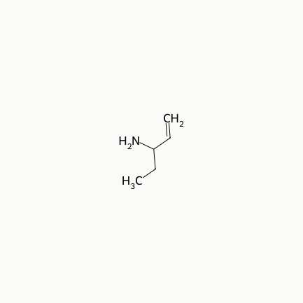 C=CC(N)CC